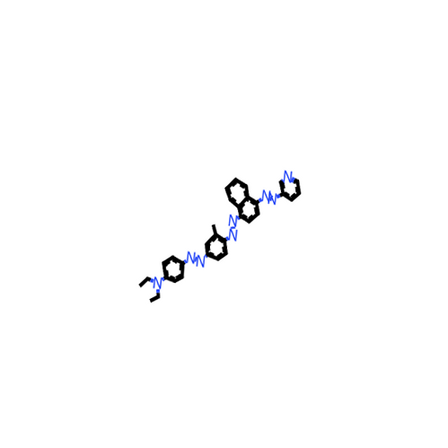 CCN(CC)c1ccc(N=Nc2ccc(N=Nc3ccc(N=Nc4cccnc4)c4ccccc34)c(C)c2)cc1